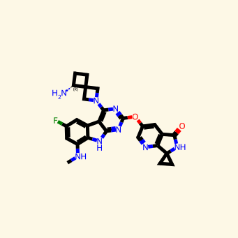 CNc1cc(F)cc2c1[nH]c1nc(Oc3cnc4c(c3)C(=O)NC43CC3)nc(N3CC4(CC[C@H]4N)C3)c12